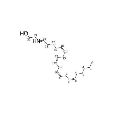 CCCCC/C=C\C/C=C\C/C=C\C/C=C\CCCCNCCO